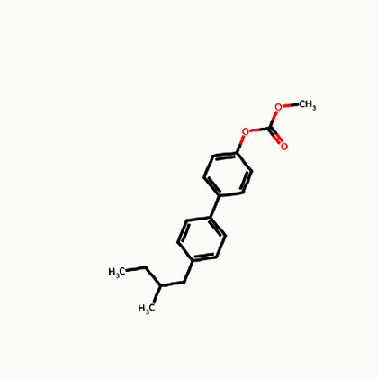 CCC(C)Cc1ccc(-c2ccc(OC(=O)OC)cc2)cc1